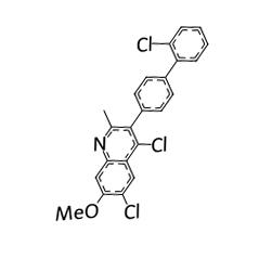 COc1cc2nc(C)c(-c3ccc(-c4ccccc4Cl)cc3)c(Cl)c2cc1Cl